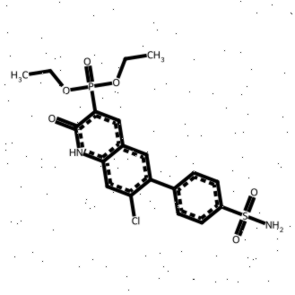 CCOP(=O)(OCC)c1cc2cc(-c3ccc(S(N)(=O)=O)cc3)c(Cl)cc2[nH]c1=O